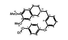 CCOc1ccc(Oc2cccc(CN3CCc4cc(OC)c(OC)cc4C3)c2)cc1